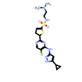 CN(C)CCNS(=O)(=O)C1=CCC(c2ncc(Cl)c(Nc3cc(C4CC4)[nH]n3)n2)S1